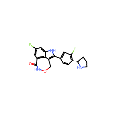 O=C1NOCc2c(-c3ccc([C@@H]4CCCN4)c(F)c3)[nH]c3cc(F)cc1c23